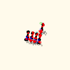 CC1(C)CC(=O)N(c2ccc(C#Cc3cc(F)ccc3F)cn2)N1.CCN1N(c2ccc(C#Cc3ccc(F)cc3)cn2)C(=O)CC1(C)C.CCN1N(c2ccc(C#Cc3ccccc3)cn2)C(=O)CC1(C)C.CN1N(c2ccc(C#Cc3ccnc(Cl)c3)cn2)C(=O)CC1(C)C.O=C1CC2CCCN2N1c1ccc(C#Cc2ccccc2)cn1